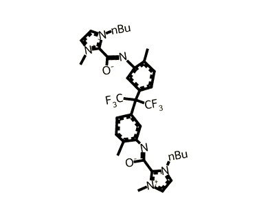 CCCCn1cc[n+](C)c1/C([O-])=N/c1cc(C(c2ccc(C)c(/N=C(\[O-])c3n(CCCC)cc[n+]3C)c2)(C(F)(F)F)C(F)(F)F)ccc1C